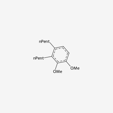 CCCCCc1ccc(OC)c(OC)c1CCCCC